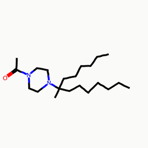 CCCCCCCC(C)(CCCCCC)N1CCN(C(C)=O)CC1